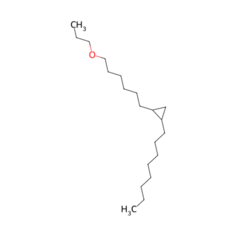 CCCCCCCCC1CC1CCCCCCOCCC